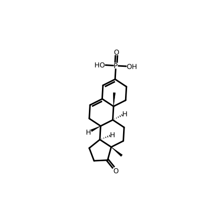 C[C@]12CCC(P(=O)(O)O)=CC1=CC[C@@H]1[C@@H]2CC[C@]2(C)C(=O)CC[C@@H]12